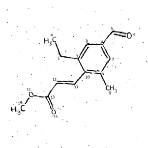 CCc1cc(C=O)cc(C)c1C=CC(=O)OC